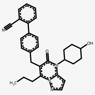 CCCc1c(Cc2ccc(-c3ccccc3C#N)cc2)c(=O)n(C2CCC(O)CC2)c2ccnn12